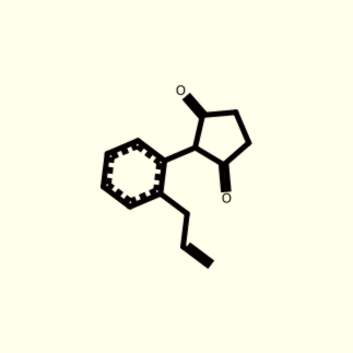 C=CCc1ccccc1C1C(=O)CCC1=O